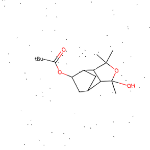 CC(C)(C)C(=O)OC1CC2CC1C1C2C(C)(O)OC1(C)C